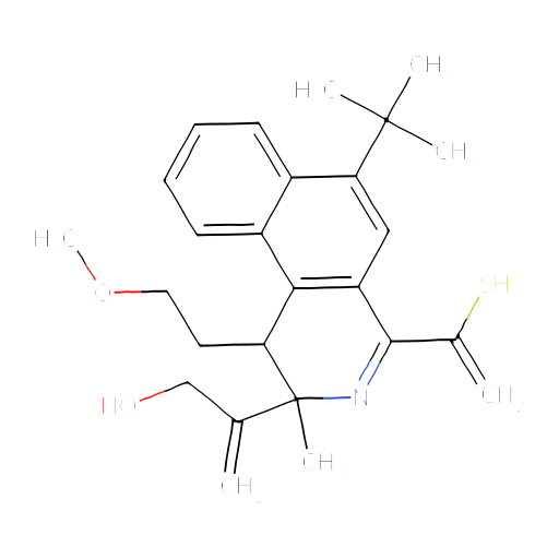 C=C(S)C1=NC(C)(C(=C)CO)C(CCOC)c2c1cc(C(C)(C)C)c1ccccc21